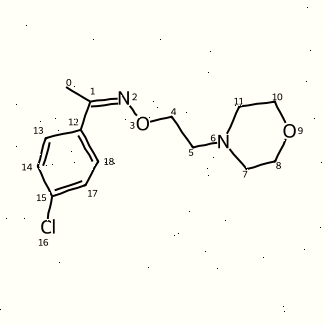 CC(=NOCCN1CCOCC1)c1ccc(Cl)cc1